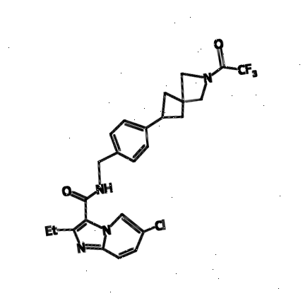 CCc1nc2ccc(Cl)cn2c1C(=O)NCc1ccc(C2CC3(C2)CN(C(=O)C(F)(F)F)C3)cc1